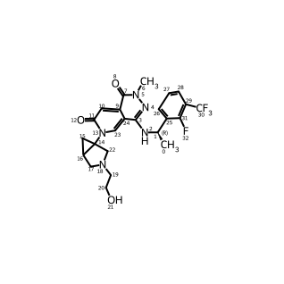 C[C@@H](Nc1nn(C)c(=O)c2cc(=O)n(C34CC3CN(CCO)C4)cc12)c1cccc(C(F)(F)F)c1F